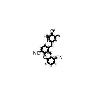 Cc1cc(Cc2ccc(C#N)c(Oc3cccc(C#N)c3)c2F)n[nH]c1=O